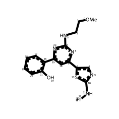 COCCNc1nc(-c2cnc(NC(C)C)s2)cc(-c2ccccc2O)n1